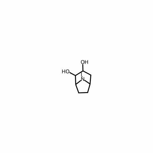 OC1CC2CCC(C1O)N2I